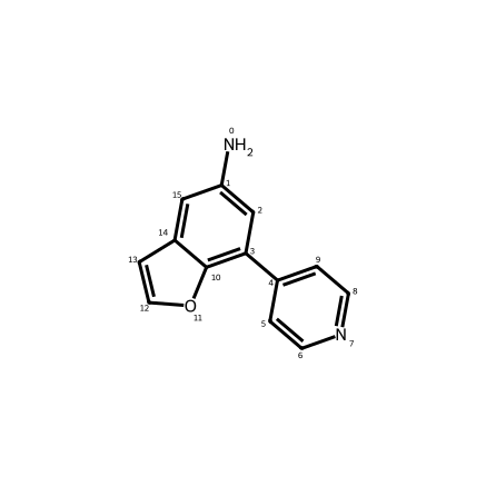 Nc1cc(-c2ccncc2)c2occc2c1